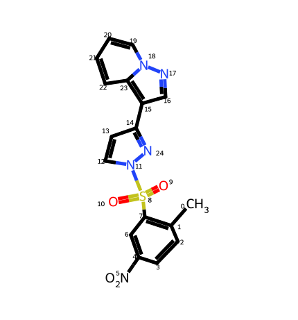 Cc1ccc([N+](=O)[O-])cc1S(=O)(=O)n1ccc(-c2cnn3ccccc23)n1